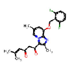 CC(C)=CC(=O)CC(=O)c1c(C)nc2c(OCc3c(F)cccc3F)cc(C)cn12